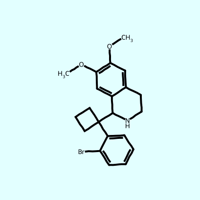 COc1cc2c(cc1OC)C(C1(c3ccccc3Br)CCC1)NCC2